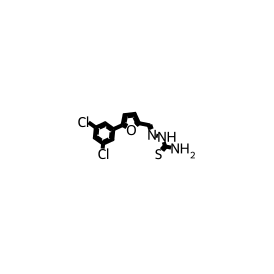 NC(=S)NN=Cc1ccc(-c2cc(Cl)cc(Cl)c2)o1